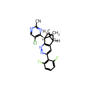 CC1(C)[C@@H]2CC[C@@]1(c1nc(C#N)ncc1Cl)c1nnc(-c3c(F)cccc3F)cc12